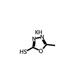 Cc1nnc(S)o1.[KH]